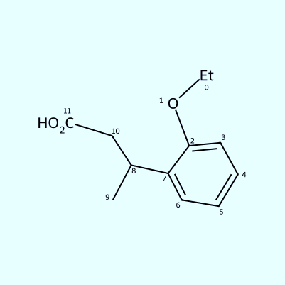 CCOc1ccccc1C(C)CC(=O)O